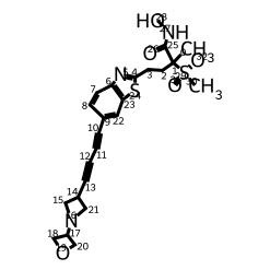 CC(CCc1nc2ccc(C#CC#CC3CN(C4COC4)C3)cc2s1)(C(=O)NO)S(C)(=O)=O